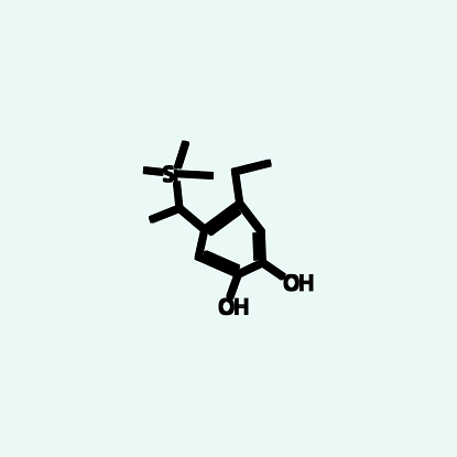 CCc1cc(O)c(O)cc1C(C)[Si](C)(C)C